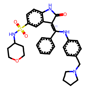 O=C1Nc2ccc(S(=O)(=O)NC3CCOCC3)cc2/C1=C(/Nc1ccc(CN2CCCC2)cc1)c1ccccc1